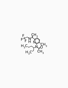 C=C(NCC(F)(F)F)c1ccc(C)c(N(C(C)=O)C(CC)CCC)n1